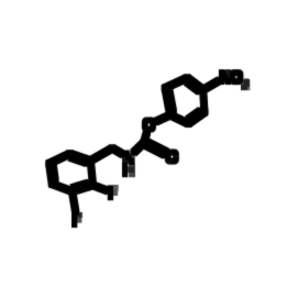 O=C(NCc1cccc(F)c1F)Oc1ccc([N+](=O)[O-])cc1